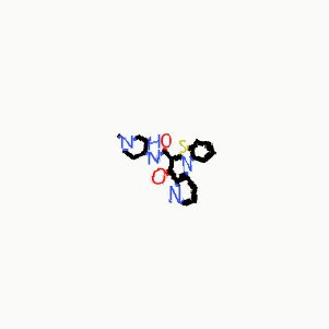 CN1CCC(NC(=O)c2c(=O)c3ncccc3n3c2sc2ccccc23)CC1